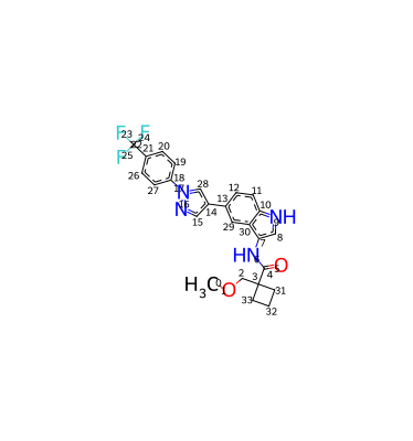 COCC1(C(=O)Nc2c[nH]c3ccc(-c4cnn(-c5ccc(C(F)(F)F)cc5)c4)cc23)CCC1